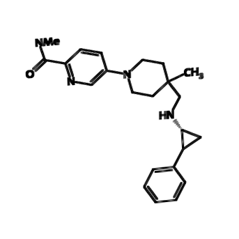 CNC(=O)c1ccc(N2CCC(C)(CN[C@@H]3CC3c3ccccc3)CC2)cn1